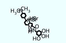 Br.Br.CN(C)c1ccc(-c2ccc3[nH]c(C(=O)Nc4cc(O)c(O)c(O)c4)cc3n2)cc1